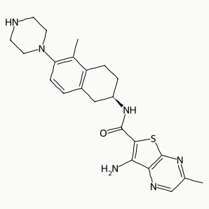 Cc1cnc2c(N)c(C(=O)N[C@@H]3CCc4c(ccc(N5CCNCC5)c4C)C3)sc2n1